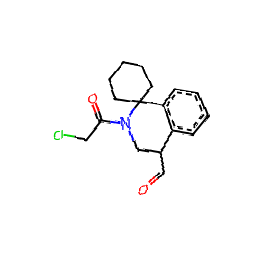 O=CC1CN(C(=O)CCl)C2(CCCCC2)c2ccccc21